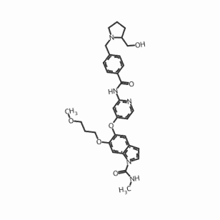 CNC(=O)n1ccc2cc(Oc3ccnc(NC(=O)c4ccc(CN5CCCC5CO)cc4)c3)c(OCCCOC)cc21